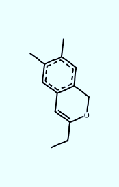 CCC1=Cc2cc(C)c(C)cc2CO1